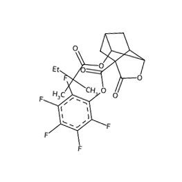 CCC(C)(C)C(=O)OC1C2CC3C1OC(=O)C3(C(=O)Oc1c(F)c(F)c(F)c(F)c1F)C2